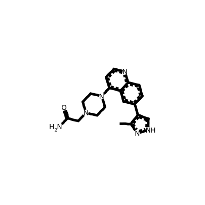 Cc1n[nH]cc1-c1ccc2nccc(N3CCN(CC(N)=O)CC3)c2c1